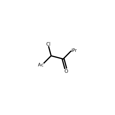 CC(=O)C(Cl)C(=O)C(C)C